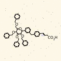 O=C(O)C/C=C/c1ccc(Cc2cccc([C@@H]3O[C@H](COCc4ccccc4)C(OCc4ccccc4)[C@H](OCc4ccccc4)[C@H]3OCc3ccccc3)c2)cc1